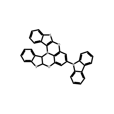 c1ccc2c(c1)SC1Oc3cc(-n4c5ccccc5c5ccccc54)cc4c3B(c3c(sc5ccccc35)O4)C21